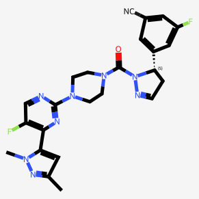 Cc1cc(-c2nc(N3CCN(C(=O)N4N=CC[C@H]4c4cc(F)cc(C#N)c4)CC3)ncc2F)n(C)n1